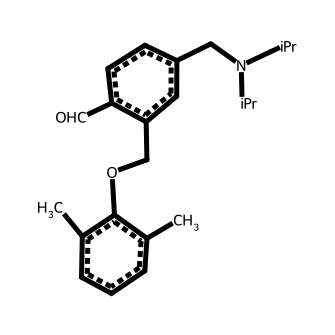 Cc1cccc(C)c1OCc1cc(CN(C(C)C)C(C)C)ccc1C=O